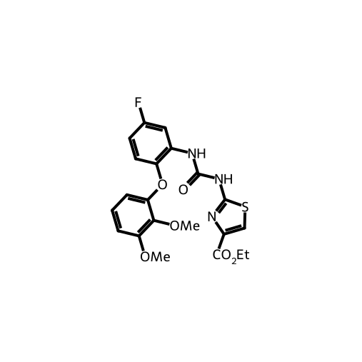 CCOC(=O)c1csc(NC(=O)Nc2cc(F)ccc2Oc2cccc(OC)c2OC)n1